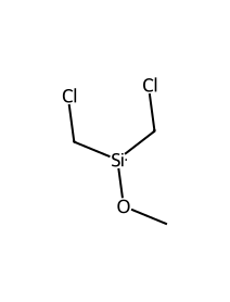 CO[Si](CCl)CCl